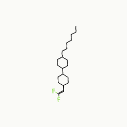 CCCCCCCC1CCC(C2CCC(C=C(F)F)CC2)CC1